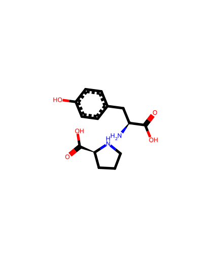 N[C@@H](Cc1ccc(O)cc1)C(=O)O.O=C(O)[C@@H]1CCCN1